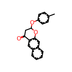 Cc1ccc(OC2CC(=O)c3cc4ccccc4cc3O2)cc1